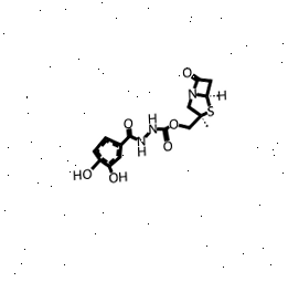 C[C@]1(COC(=O)NNC(=O)c2ccc(O)c(O)c2)CN2C(=O)C[C@H]2S1